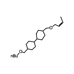 C/C=C\COCC1CCC(C2CCC(COCCCC)CC2)CC1